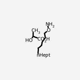 CC(O)C(=O)O.CCCCCCCCCCCCON